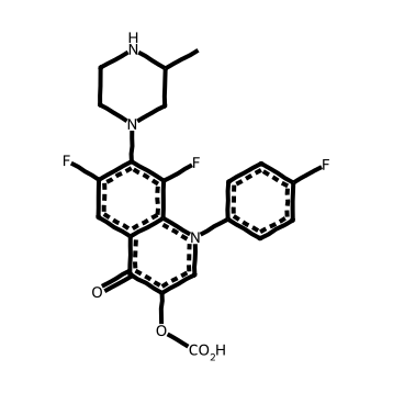 CC1CN(c2c(F)cc3c(=O)c(OC(=O)O)cn(-c4ccc(F)cc4)c3c2F)CCN1